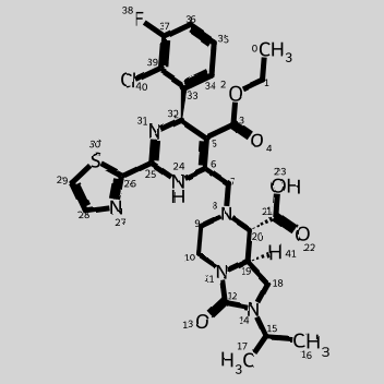 CCOC(=O)C1=C(CN2CCN3C(=O)N(C(C)C)C[C@@H]3[C@H]2C(=O)O)NC(c2nccs2)=N[C@H]1c1cccc(F)c1Cl